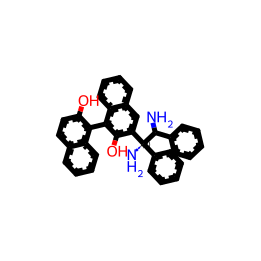 NC(c1ccccc1)[C@@](N)(c1ccccc1)c1cc2ccccc2c(-c2c(O)ccc3ccccc23)c1O